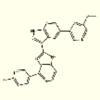 COc1cncc(-c2ccc3[nH]nc(-c4nc5c(-c6ccc(F)cc6)nccc5[nH]4)c3c2)c1